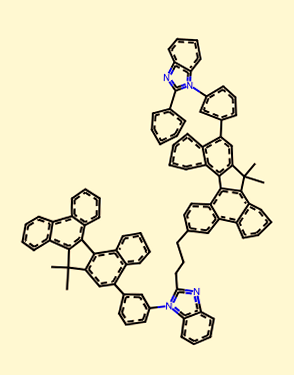 CC1(C)c2cc(-c3cccc(-n4c(CCCc5ccc6c7c(c8ccccc8c6c5)C(C)(C)c5cc(-c6cccc(-n8c(-c9ccccc9)nc9ccccc98)c6)c6ccccc6c5-7)nc5ccccc54)c3)c3ccccc3c2-c2c1c1ccccc1c1ccccc21